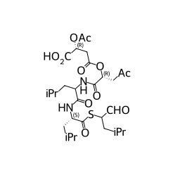 CC(=O)C[C@@H](OC(=O)C[C@@H](OC(C)=O)C(=O)O)C(=O)NC(CC(C)C)C(=O)N[C@@H](CC(C)C)C(=O)SC(C=O)CC(C)C